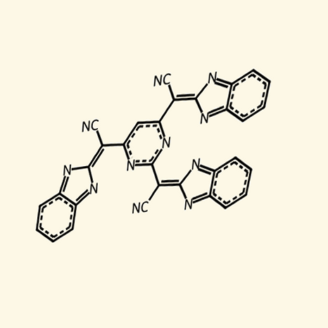 N#CC(=C1N=c2ccccc2=N1)c1cc(C(C#N)=C2N=c3ccccc3=N2)nc(C(C#N)=C2N=c3ccccc3=N2)n1